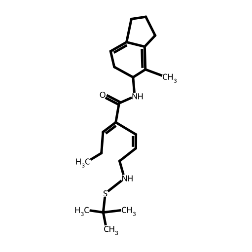 CC/C=C(\C=C/CNSC(C)(C)C)C(=O)NC1CC=C2CCCC2=C1C